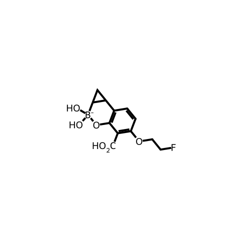 O=C(O)c1c(OCCF)ccc2c1O[B-](O)(O)C1CC21